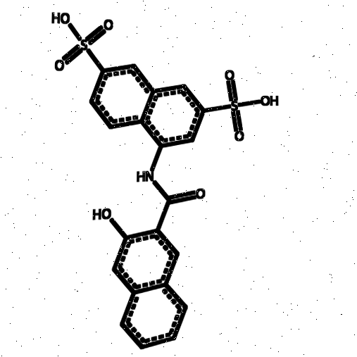 O=C(Nc1cc(S(=O)(=O)O)cc2cc(S(=O)(=O)O)ccc12)c1cc2ccccc2cc1O